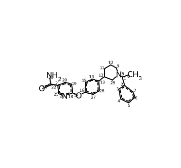 CC(c1ccccc1)N1CCCC(c2ccc(Oc3ccc(C(N)=O)cn3)cc2)C1